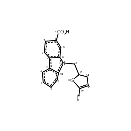 O=C(O)c1ccc2c3ccccc3n(CC3CC=C(F)S3)c2c1